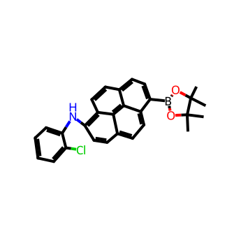 CC1(C)OB(c2ccc3ccc4c(Nc5ccccc5Cl)ccc5ccc2c3c54)OC1(C)C